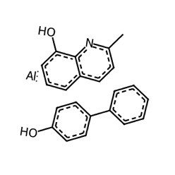 Cc1ccc2cccc(O)c2n1.Oc1ccc(-c2ccccc2)cc1.[Al]